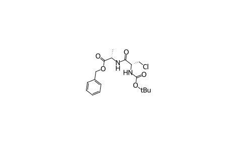 C[C@H](NC(=O)[C@H](CCl)NC(=O)OC(C)(C)C)C(=O)OCc1ccccc1